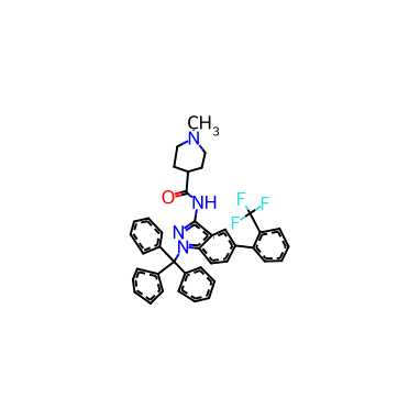 CN1CCC(C(=O)Nc2nn(C(c3ccccc3)(c3ccccc3)c3ccccc3)c3ccc(-c4ccccc4C(F)(F)F)cc23)CC1